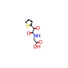 O=C(O)CNC(=O)C(=O)c1cccs1